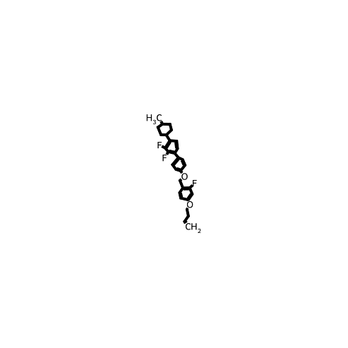 C=CCCOc1ccc(COc2ccc(-c3ccc(C4CCC(C)CC4)c(F)c3F)cc2)c(F)c1